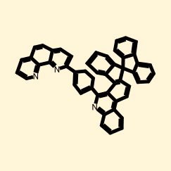 C1=C(c2ccc3ccc4cccnc4c3n2)CCC(c2nc3ccccc3c3ccc4c(c23)-c2ccccc2C42c3ccccc3-c3ccccc32)=C1